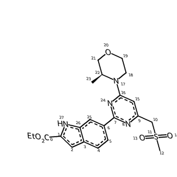 CCOC(=O)c1cc2ccc(-c3nc(CS(C)(=O)=O)cc(N4CCOC[C@@H]4C)n3)cc2[nH]1